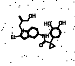 C=C(CO)Cn1c(CC)cc2cc(NC(=O)C3(c4ccc(O)c(O)c4)CC3)ccc21